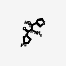 N[C@@H](C(=O)N1CC[C@H](F)C1)[C@@H](O)c1ccsc1